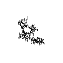 CC[C@H]1OC(=O)[C@H](C)[C@@H](O[C@H]2C[C@@](C)(OC)[C@@H](O)[C@H](C)O2)[C@H](C)[C@@H](O[C@@H]2O[C@H](C)C[C@H](N(C)CCNC(=O)N[C@H](CF)Cc3ccc(S(C)(=O)=O)nn3)[C@H]2O)[C@](C)(O)C[C@@H](C)CN(C)[C@H](C)[C@@H](O)[C@]1(C)O